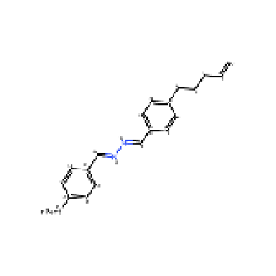 C=CCCCc1ccc(/C=N/N=C/c2ccc(CCCCC)cc2)cc1